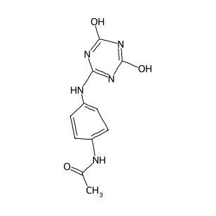 CC(=O)Nc1ccc(Nc2nc(O)nc(O)n2)cc1